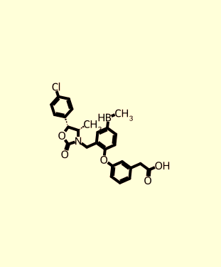 CBc1ccc(Oc2cccc(CC(=O)O)c2)c(CN2C(=O)O[C@H](c3ccc(Cl)cc3)[C@@H]2C)c1